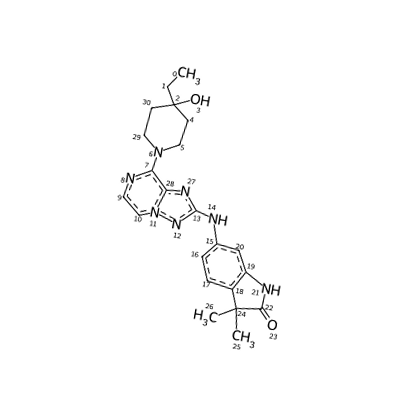 CCC1(O)CCN(c2nccn3nc(Nc4ccc5c(c4)NC(=O)C5(C)C)nc23)CC1